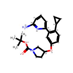 CC(C)(C)OC(=O)N1CCC(Oc2ccc(C3CC3)c(-c3cccc(N)n3)c2)C1